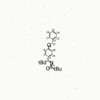 CC(C)(C)C(=N[S@@+]([O-])C(C)(C)C)c1ccc(OCc2ccccc2)cc1